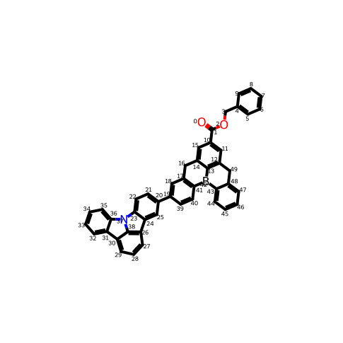 O=C(OCc1ccccc1)c1cc2c3c(c1)Cc1cc(-c4ccc5c(c4)c4cccc6c7ccccc7n5c64)ccc1B3c1ccccc1C2